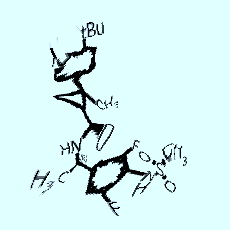 C[C@@H](NC(=O)C1CC1(C)c1ccc(C(C)(C)C)nc1)c1cc(F)c(NS(C)(=O)=O)c(F)c1